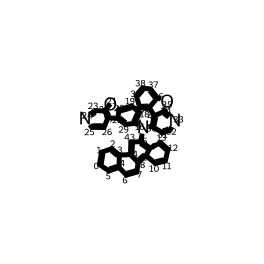 c1ccc2c(c1)ccc1c3ccccc3c(N(c3ccc4oc5cnccc5c4c3)c3ccnc4oc5ccccc5c34)cc21